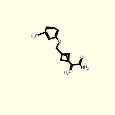 C=C(C(N)=O)C12CC(COc3cccc(C(F)(F)F)c3)(C1)C2